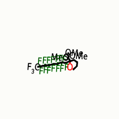 CO[Si](OC)(OC)C1(C(F)(F)C(F)(F)C(F)(F)C(F)(F)C(F)(F)C(F)(F)C(F)(F)C(F)(F)F)CCCCO1